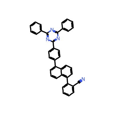 N#Cc1ccccc1-c1cccc2c(-c3ccc(-c4nc(-c5ccccc5)nc(-c5ccccc5)n4)cc3)cccc12